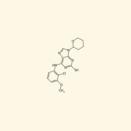 COc1cccc(Nc2nc(S)nc3c2ncn3C2CCCCO2)c1Cl